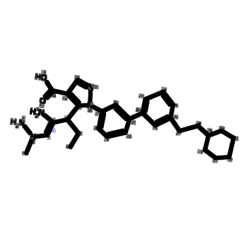 CCC(/C(N)=C/N(C)N)c1c(C(=O)O)cnn1-c1cccc(-c2cccc(CCC3CCCCC3)c2)c1